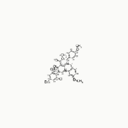 COC(=O)c1c(N(Cc2ccc(OC)cc2)Cc2ccc(OC)cc2)ncn(-c2c(C)cc(Br)cc2Cl)c1=O